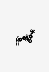 COC(=O)/C=C/c1cccc(N(C(=O)C2CCCCC2)C(O)c2ccc(-c3ccc4c(c3)SCCN4)cc2)c1